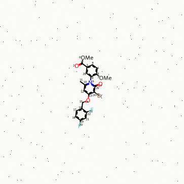 COC(=O)c1ccc(OC)c(-n2c(C)cc(OCc3ccc(F)cc3F)c(Br)c2=O)c1